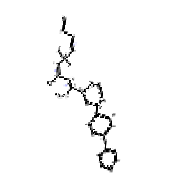 C=C/C=C\C(C)(C)/N=C(Cl)\N=C(/NC)c1cccc(-c2ccc(-c3ccccc3)cc2)c1